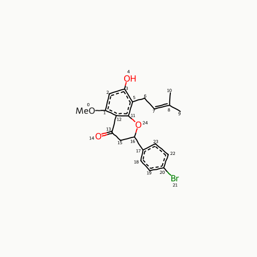 COc1cc(O)c(CC=C(C)C)c2c1C(=O)CC(c1ccc(Br)cc1)O2